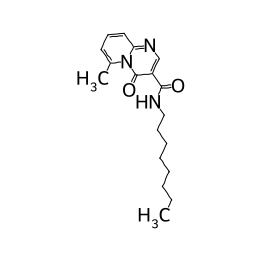 CCCCCCCCNC(=O)c1cnc2cccc(C)n2c1=O